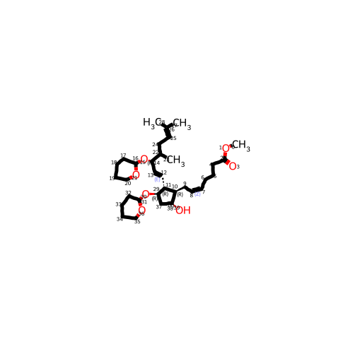 COC(=O)CCC/C=C\C[C@@H]1[C@@H](/C=C/[C@H](OC2CCCCO2)C(C)CC=C(C)C)[C@H](OC2CCCCO2)C[C@H]1O